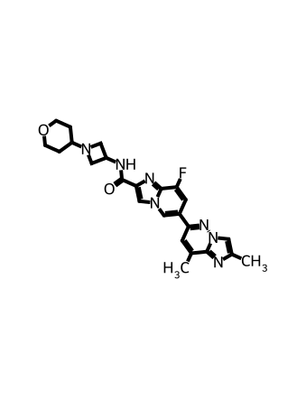 Cc1cn2nc(-c3cc(F)c4nc(C(=O)NC5CN(C6CCOCC6)C5)cn4c3)cc(C)c2n1